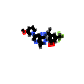 CO[C@H]1CCCN(c2cnc3c(C)nnc(N[C@H](C)c4cc(O)cc(C(F)(F)F)c4)c3c2)C1